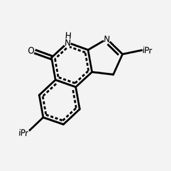 CC(C)C1=Nc2[nH]c(=O)c3cc(C(C)C)ccc3c2C1